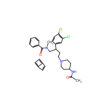 CC(=O)NC1CCN(CCC(CN(C)C(=O)c2ccccc2)c2ccc(Cl)c(Cl)c2)CC1.c1cc2ccc1-2